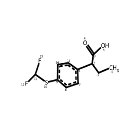 CCC(C(=O)O)c1ccc(SC(F)F)cc1